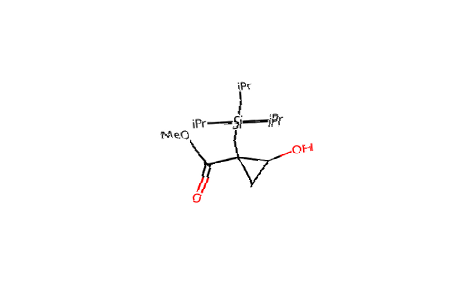 COC(=O)C1([Si](C(C)C)(C(C)C)C(C)C)CC1O